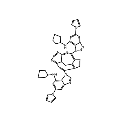 C1=CC2=C(n3cnc4cc(-n5cccc5)cc(NC5CCCC5)c43)N=C3N=CN=C4N=C(n5cnc6cc(-n7cccc7)cc(NC7CCCC7)c65)C1=C2CC43